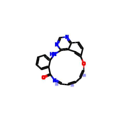 O=C1\N=C/C=C\C=C/Oc2ccc3ncnc(c3c2)Nc2ccccc21